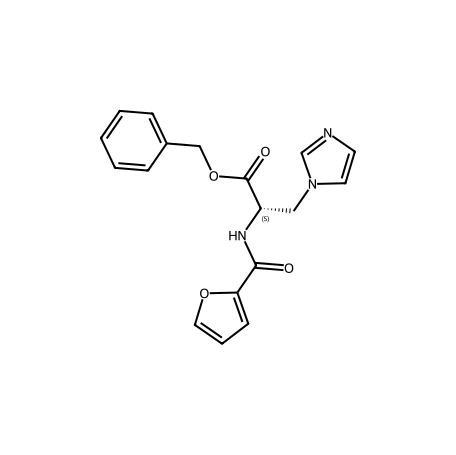 O=C(N[C@@H](Cn1ccnc1)C(=O)OCc1ccccc1)c1ccco1